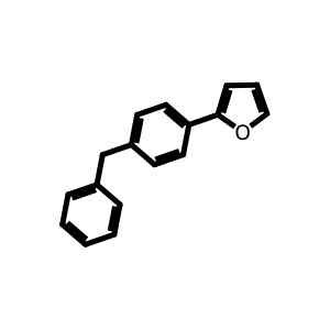 c1ccc(Cc2ccc(-c3ccco3)cc2)cc1